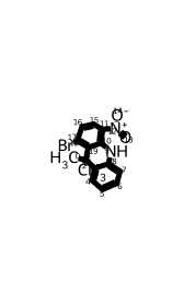 CC1(C)c2ccccc2Nc2c([N+](=O)[O-])ccc(Br)c21